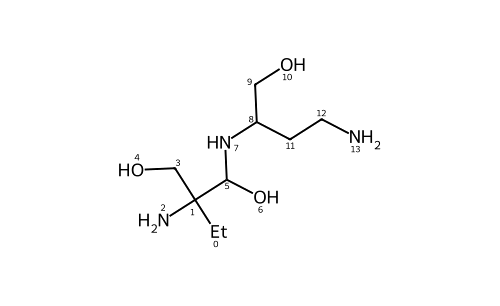 CCC(N)(CO)C(O)NC(CO)CCN